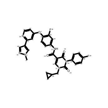 Cn1cc(-c2cc(Oc3ccc(NC(=O)c4cn(CC5CC5)c(=O)n(-c5ccc(F)cc5)c4=O)cc3F)ccn2)cn1